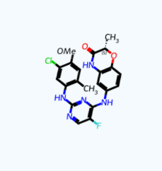 COc1cc(C)c(Nc2ncc(F)c(Nc3ccc4c(c3)NC(=O)[C@H](C)O4)n2)cc1Cl